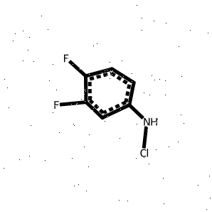 Fc1ccc(NCl)cc1F